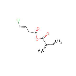 C=CC(=C)C(=O)OC(=O)CC=CCl